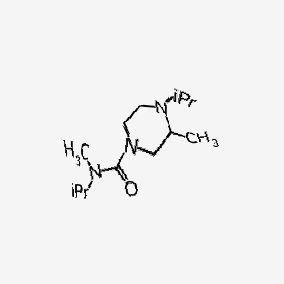 CC(C)N(C)C(=O)N1CCN(C(C)C)C(C)C1